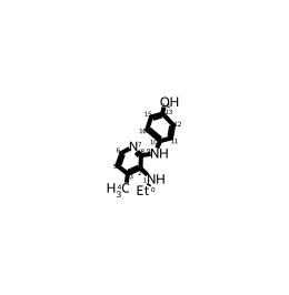 CCNc1c(C)ccnc1Nc1ccc(O)cc1